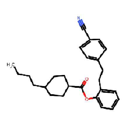 CCCCC1CCC(C(=O)Oc2ccccc2CCc2ccc(C#N)cc2)CC1